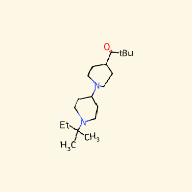 CCC(C)(C)N1CCC(N2CCC(C(=O)C(C)(C)C)CC2)CC1